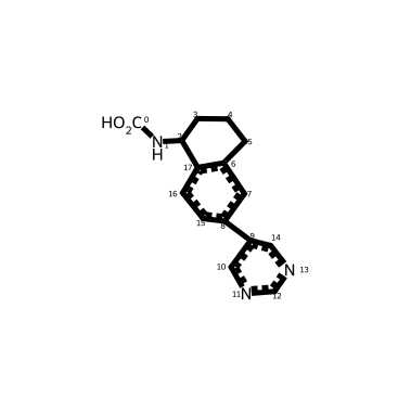 O=C(O)NC1CCCc2cc(-c3cncnc3)ccc21